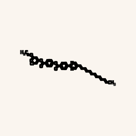 CCCCCCCCCCCCCc1cnc(-c2ccc(C(=O)Oc3ccc(C(=O)OC(CCl)CC(=O)OCC)cc3)cc2)nc1